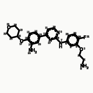 NCCOc1cc(Nc2nccc(-c3ccc(OC4CCOCC4)c(N)c3)n2)ccc1F